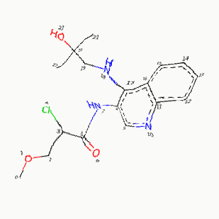 COCC(Cl)C(=O)Nc1cnc2ccccc2c1NCC(C)(C)O